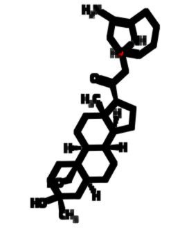 C[C@@]1(O)CC[C@@]2(CO)[C@@H](CC[C@H]3[C@@H]4CC[C@H](C(=O)CNN/C5=C(/N)C/C=C\CCC5)[C@@]4(C)CC[C@@H]32)C1